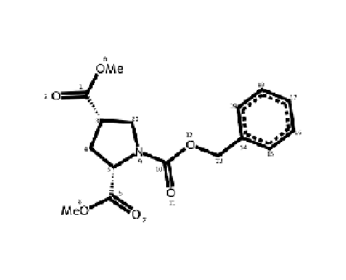 COC(=O)[C@H]1C[C@@H](C(=O)OC)N(C(=O)OCc2ccccc2)C1